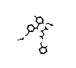 CNC(=O)NCc1cccc(C2OC(CC(=O)NCc3ccccc3F)C(=O)N(CC(C)(C)C)c3ccc(Cl)cc32)c1